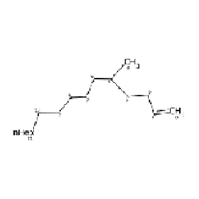 C=CCCC(C)CCCCCCCCCCC